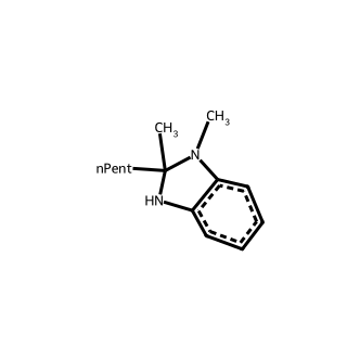 CCCCCC1(C)Nc2ccccc2N1C